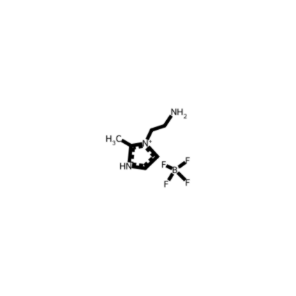 Cc1[nH]cc[n+]1CCN.F[B-](F)(F)F